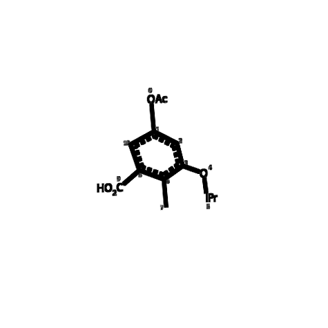 CC(=O)Oc1cc(OC(C)C)c(C)c(C(=O)O)c1